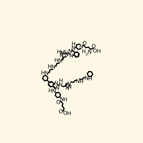 CN(C/C(=C/NCCCNCCCNC1CCCC(c2ccc3c(NC4CCC(NC(=O)CCCC(=O)O)CC4)nc(NCc4cn(CCCNCCCNC5CCCCC5)nn4)nc3c2)C1)N=N)c1nc(NC2CCN(C(=O)CC[C@H](N)C(=O)O)CC2)c2ccccc2n1